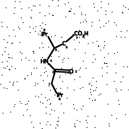 CC(C)CC(=O)NC(CC(=O)O)C(C)C